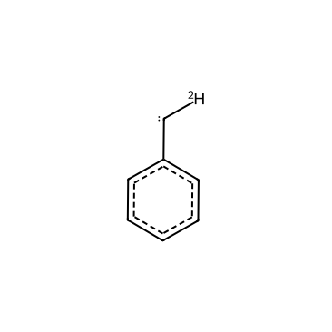 [2H][C]c1ccccc1